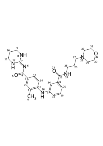 Cc1cc(C(=O)N=C2NCCCN2)ccc1Nc1cccc(C(=O)NCCCN2CCOCC2)c1